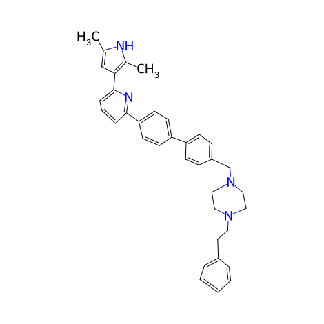 Cc1cc(-c2cccc(-c3ccc(-c4ccc(CN5CCN(CCc6ccccc6)CC5)cc4)cc3)n2)c(C)[nH]1